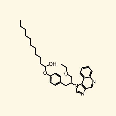 CCCCCCCCCC[C@@H](O)Oc1ccc(CC(COCC)n2cnc3cnc4ccccc4c32)cc1